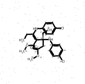 CCC(Nc1ccc(Cl)cc1)=C(C(=O)OC)[C@@](CC)(CC(=O)OC)Nc1ccc(Cl)cc1